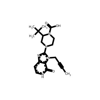 CC#CCn1c(N2CCN(C(=O)O)C(C(C)(C)C)C2)nc2cc[nH]c(=O)c21